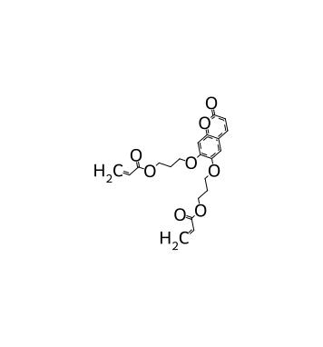 C=CC(=O)OCCCOc1cc2ccc(=O)oc2cc1OCCCOC(=O)C=C